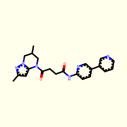 Cc1cc2n(n1)CC(C)CN2C(=O)CCC(=O)Nc1ccc(-c2cccnc2)cn1